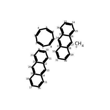 C.C1=CC=CC=CC=C1.c1ccc2cc3ccccc3cc2c1.c1ccc2cc3ccccc3cc2c1